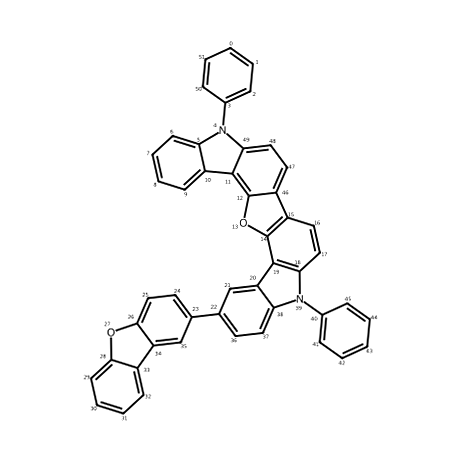 c1ccc(-n2c3ccccc3c3c4oc5c(ccc6c5c5cc(-c7ccc8oc9ccccc9c8c7)ccc5n6-c5ccccc5)c4ccc32)cc1